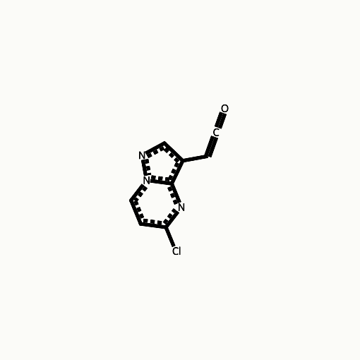 O=C=Cc1cnn2ccc(Cl)nc12